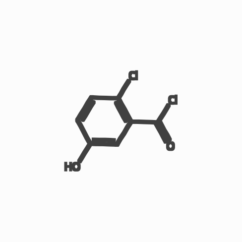 O=C(Cl)c1cc(O)ccc1Cl